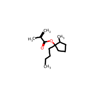 C=C(C)C(=O)OC1(CCCC)CCCC1C